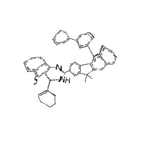 CC1(C)c2cc(C3=Nc4c(sc5ccccc45)C(C4=CCCCC4)N3)ccc2-c2c1cc1ccccc1c2-c1cccc(-c2ccccc2)c1